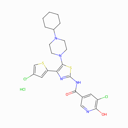 Cl.O=C(Nc1nc(-c2cc(Cl)cs2)c(N2CCN(C3CCCCC3)CC2)s1)c1cnc(O)c(Cl)c1